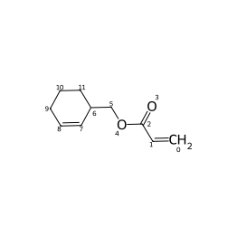 C=CC(=O)OCC1C=CCCC1